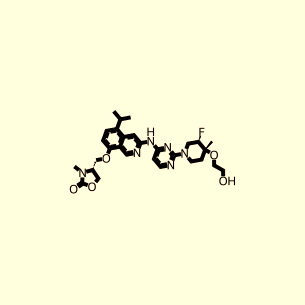 CC(C)c1ccc(OC[C@@H]2COC(=O)N2C)c2cnc(Nc3ccnc(N4CC[C@@](C)(OCCO)[C@@H](F)C4)n3)cc12